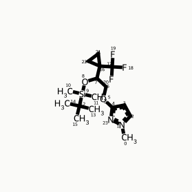 Cn1ccc(OCC(O[Si](C)(C)C(C)(C)C)C2(C(F)(F)F)CC2)n1